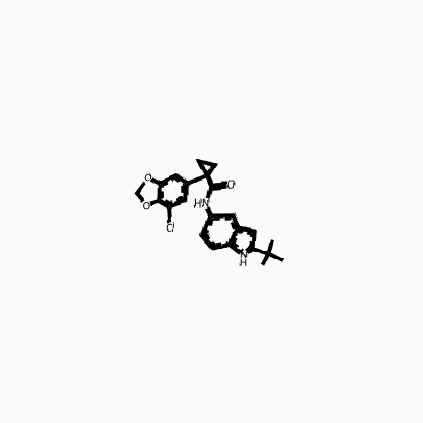 CC(C)(C)c1cc2cc(NC(=O)C3(c4cc(Cl)c5c(c4)OCO5)CC3)ccc2[nH]1